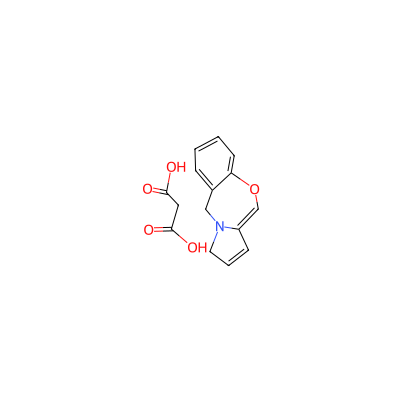 C1=CC2=COc3ccccc3CN2C1.O=C(O)CC(=O)O